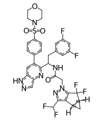 O=C(Cn1nc(C(F)F)c2c1C(F)(F)[C@@H]1C[C@H]21)NC(Cc1cc(F)cc(F)c1)c1nc2cn[nH]c2cc1-c1ccc(S(=O)(=O)N2CCOCC2)cc1